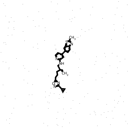 C=CC(CCCc1nc(C2CC2)no1)CNc1cc(-c2ccc3nc(C)sc3c2)ccn1